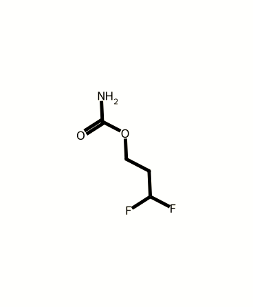 NC(=O)OCCC(F)F